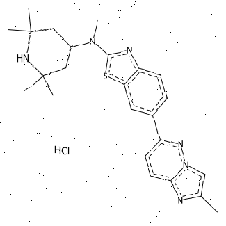 Cc1cn2nc(-c3ccc4nc(N(C)C5CC(C)(C)NC(C)(C)C5)sc4c3)ccc2n1.Cl